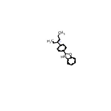 C=C/C(=C\CC)c1ccc(C2Nc3ccccc3O2)cc1